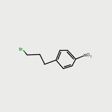 O=[N+]([O-])c1ccc([CH]CCBr)cc1